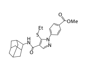 CCSc1c(C(=O)NC2C3CC4CC(C3)CC2C4)cnn1-c1ccc(C(=O)OC)cc1